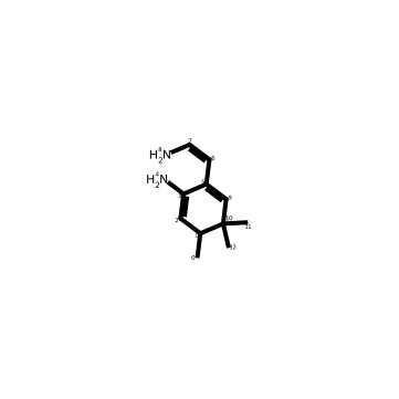 CC1C=C(N)C(/C=C\N)=CC1(C)C